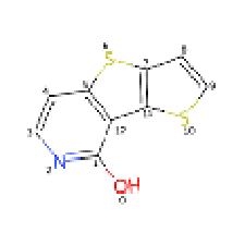 Oc1nccc2sc3ccsc3c12